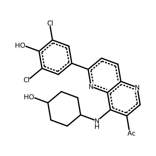 CC(=O)c1cnc2ccc(-c3cc(Cl)c(O)c(Cl)c3)nc2c1NC1CCC(O)CC1